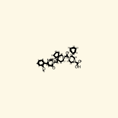 COc1ccccc1-c1cc(=O)n(C[C@]2(O)CCN(C(=O)N3CCN(C(=O)O)C[C@H]3c3ccccc3)CC23CCCC3)cn1